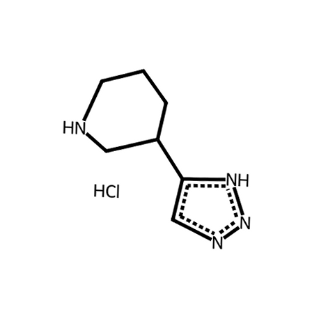 Cl.c1nn[nH]c1C1CCCNC1